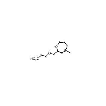 CN1CCCOC(COCCC(=O)O)C1